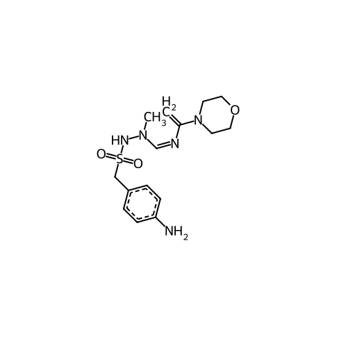 C=C(/N=C\N(C)NS(=O)(=O)Cc1ccc(N)cc1)N1CCOCC1